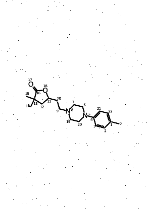 Cc1ccc(N2CCN(CCC3CC(C)(C)C(=O)O3)CC2)cc1